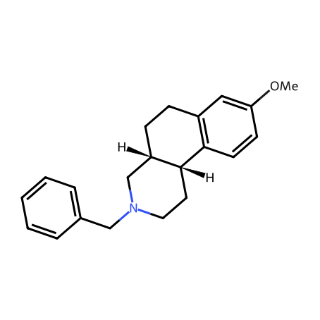 COc1ccc2c(c1)CC[C@H]1CN(Cc3ccccc3)CC[C@@H]21